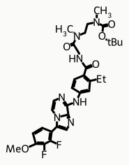 CCc1cc(Nc2nccn3c(-c4ccc(OC)c(F)c4F)cnc23)ccc1C(=O)NCC(=O)N(C)CCN(C)C(=O)OC(C)(C)C